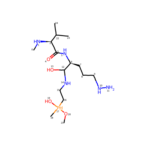 CN[C@H](C(=O)N[C@@H](CCCNN)C(O)NCC[PH](C)(O)OC)C(C)C